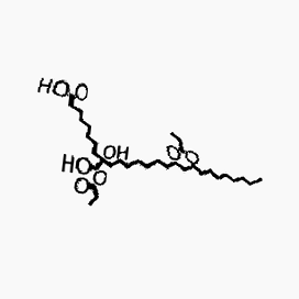 CCCCCCCCC(CCCCCCCCCC(O)(CCCCCCCC(=O)O)C(O)OC(=O)CC)OC(=O)CC